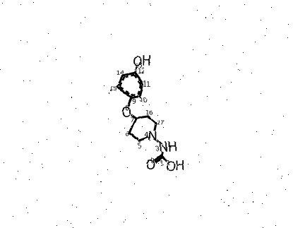 O=C(O)NN1CCC(Oc2ccc(O)cc2)CC1